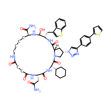 NC(=O)C[C@@H]1NC(=O)CCC(=O)NCCCC[C@@H](C(N)=O)NC(O)[C@H](Cc2csc3ccccc23)NC(=O)[C@@H]2C[C@H](n3cc(-c4ccc(-c5cccs5)cc4)nn3)CN2C(=O)[C@H](C2CCCCC2)NC1=O